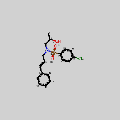 CC(O)CN(C/C=C/c1ccccc1)S(=O)(=O)c1ccc(Cl)cc1